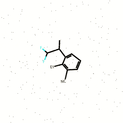 [CH2]C(c1cccc(C#N)c1CC)C(F)F